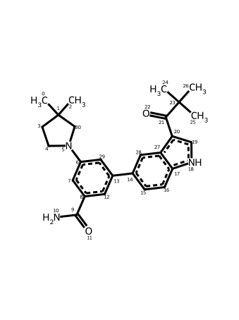 CC1(C)CCN(c2cc(C(N)=O)cc(-c3ccc4[nH]cc(C(=O)C(C)(C)C)c4c3)c2)C1